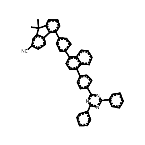 CC1(C)c2cc(C#N)ccc2-c2c(-c3ccc(-c4ccc(-c5ccc(-c6nc(-c7ccccc7)nc(-c7ccccc7)n6)cc5)c5ccccc45)cc3)cccc21